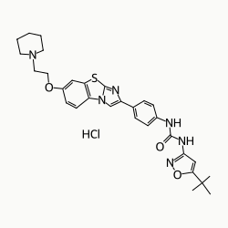 CC(C)(C)c1cc(NC(=O)Nc2ccc(-c3cn4c(n3)sc3cc(OCCN5CCCCC5)ccc34)cc2)no1.Cl